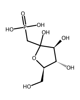 O=P(O)(O)CC1(O)O[C@H](CO)[C@@H](O)[C@@H]1O